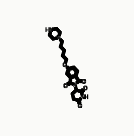 O=C1CCC(N2C(=O)c3ccc(OCCCCCN4CCNCC4)cc3C2=O)C(=O)N1